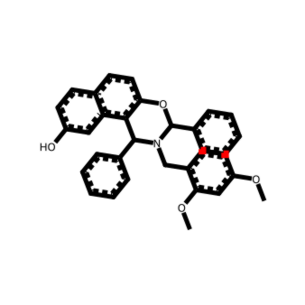 COc1ccc(CN2C(c3ccccc3)Oc3ccc4ccc(O)cc4c3C2c2ccccc2)c(OC)c1